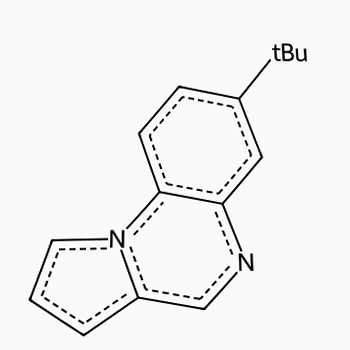 CC(C)(C)c1ccc2c(c1)ncc1cccn12